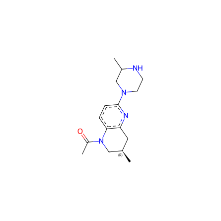 CC(=O)N1C[C@H](C)Cc2nc(N3CCNC(C)C3)ccc21